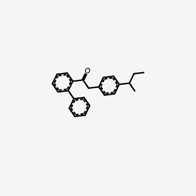 CCC(C)c1ccc(CC(=O)c2ccccc2-c2ccccc2)cc1